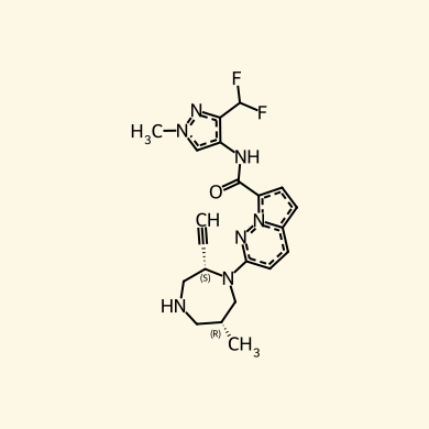 C#C[C@H]1CNC[C@@H](C)CN1c1ccc2ccc(C(=O)Nc3cn(C)nc3C(F)F)n2n1